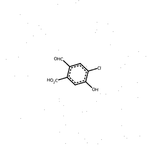 O=Cc1cc(Cl)c(O)cc1C(=O)O